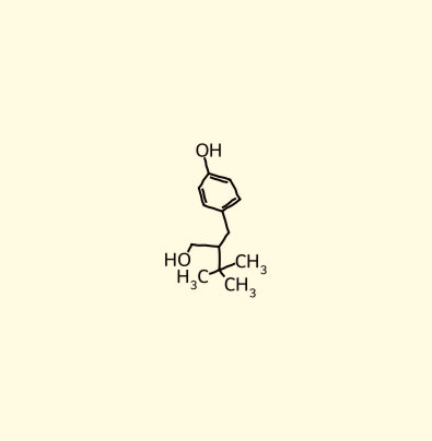 CC(C)(C)C(CO)Cc1ccc(O)cc1